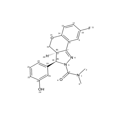 CN(C)C(=O)N1N=C2c3cc(F)ccc3OC[C@@H]2[C@@H]1c1cccc(O)c1